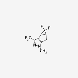 Cn1nc(C(F)(F)F)c2c1CC1C2C1(F)F